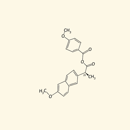 COc1ccc(C(=O)OC(=O)[C@@H](C)c2ccc3cc(OC)ccc3c2)cc1